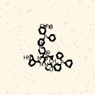 C[C@@H]1COCCN1c1cc(C2(S(=O)(=O)C3CC3)CCNCC2)nc(-c2cccc3[nH]ccc23)n1.[Cl][Pd][Cl].c1ccc(P(c2ccccc2)c2ccccc2)cc1.c1ccc(P(c2ccccc2)c2ccccc2)cc1